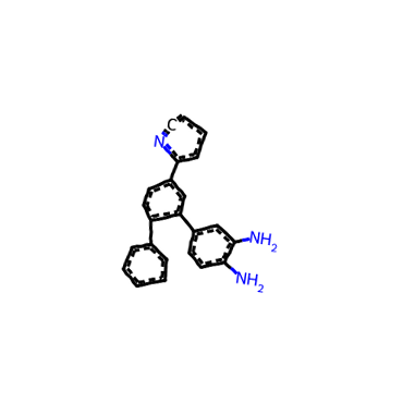 Nc1ccc(-c2cc(-c3ccccn3)ccc2-c2ccccc2)cc1N